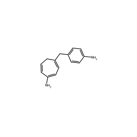 NC1=CC=C(Cc2ccc(N)cc2)CC=C1